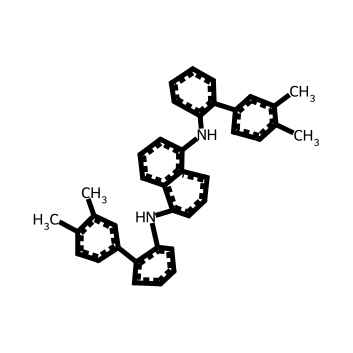 Cc1ccc(-c2ccccc2Nc2cccc3c(Nc4ccccc4-c4ccc(C)c(C)c4)cccc23)cc1C